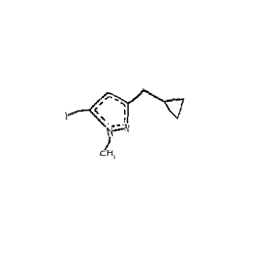 Cn1nc(CC2CC2)cc1I